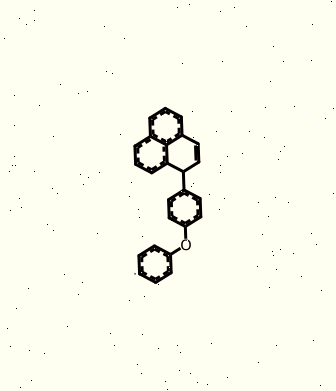 [c]1ccc(Oc2ccc(C3C=Cc4cccc5cccc3c45)cc2)cc1